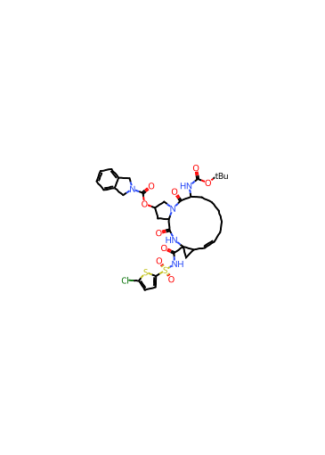 CC(C)(C)OC(=O)NC1CCCCCC=CC2CC2(C(=O)NS(=O)(=O)c2ccc(Cl)s2)NC(=O)C2CC(OC(=O)N3Cc4ccccc4C3)CN2C1=O